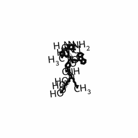 CCCCCCN(CCNC(=O)N1CCC(CN(C[C@H](CNC(=O)c2nc(Cl)c(N)nc2N)Cc2ccccc2C)C(=O)OCC2c3ccccc3-c3ccccc32)CC1)CC[C@@H](O)C[C@H](O)COCO